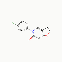 O=c1cc2c(cn1-c1ccc(F)cc1)CCO2